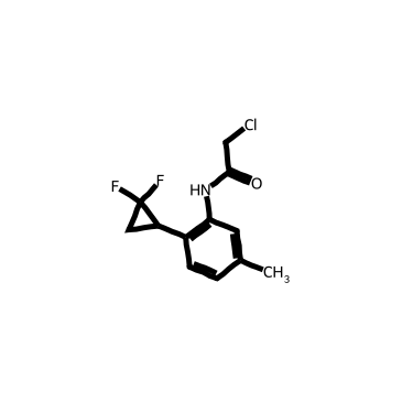 Cc1ccc(C2CC2(F)F)c(NC(=O)CCl)c1